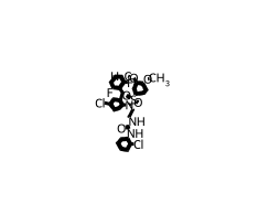 COc1ccc(S(=O)(=O)N(CCNC(=O)Nc2ccccc2Cl)c2ccc(Cl)cc2Cc2c(F)cccc2F)cc1OC